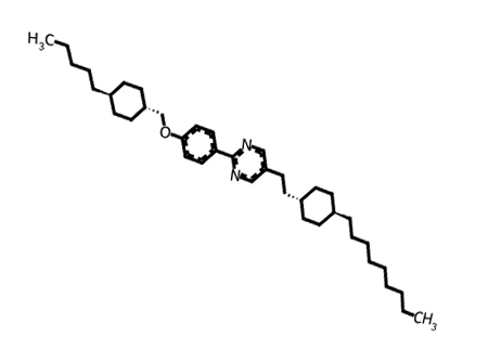 CCCCCCCCC[C@H]1CC[C@H](CCc2cnc(-c3ccc(OC[C@H]4CC[C@H](CCCCC)CC4)cc3)nc2)CC1